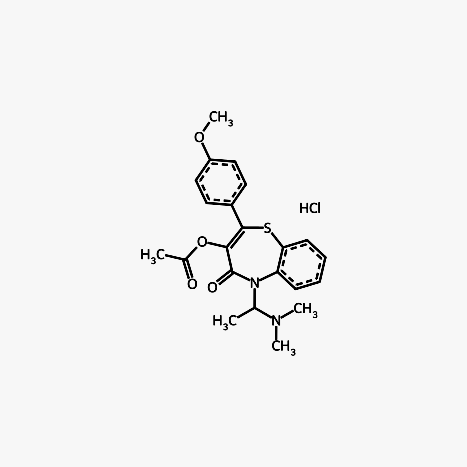 COc1ccc(C2=C(OC(C)=O)C(=O)N(C(C)N(C)C)c3ccccc3S2)cc1.Cl